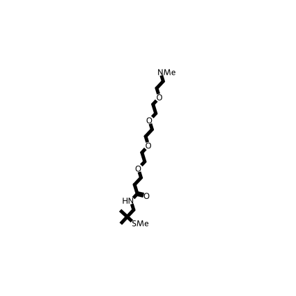 CNCCOCCOCCOCCOCCC(=O)NCC(C)(C)SC